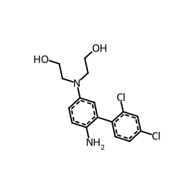 Nc1ccc(N(CCO)CCO)cc1-c1ccc(Cl)cc1Cl